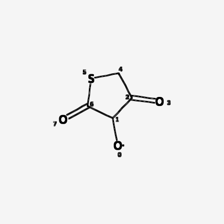 [O]C1C(=O)CSC1=O